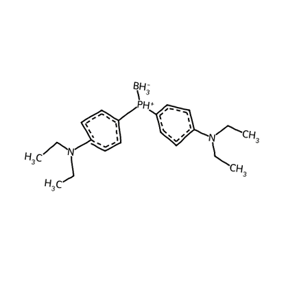 [BH3-][PH+](c1ccc(N(CC)CC)cc1)c1ccc(N(CC)CC)cc1